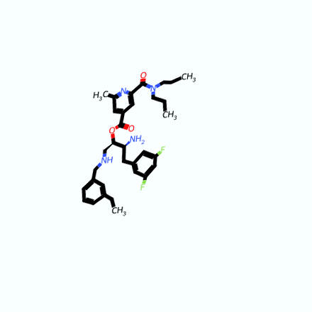 CCCN(CCC)C(=O)c1cc(C(=O)O[C@H](CNCc2cccc(CC)c2)[C@@H](N)Cc2cc(F)cc(F)c2)cc(C)n1